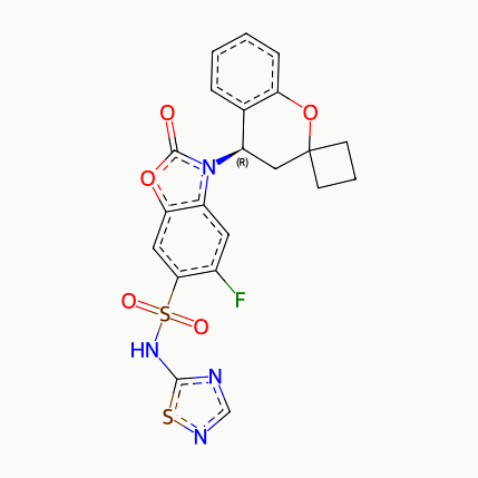 O=c1oc2cc(S(=O)(=O)Nc3ncns3)c(F)cc2n1[C@@H]1CC2(CCC2)Oc2ccccc21